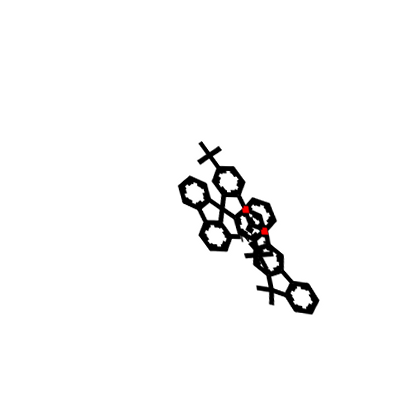 CC(C)(C)c1ccc2c(c1)C1(c3cc(C(C)(C)C)ccc3-2)c2ccccc2-c2cccc(-n3c4ccccc4c4cc5c(cc43)C(C)(C)c3ccccc3-5)c21